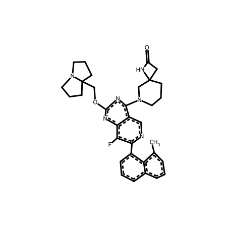 Cc1cccc2cccc(-c3ncc4c(N5CCCC6(CC(=O)N6)C5)nc(OCC56CCCN5CCC6)nc4c3F)c12